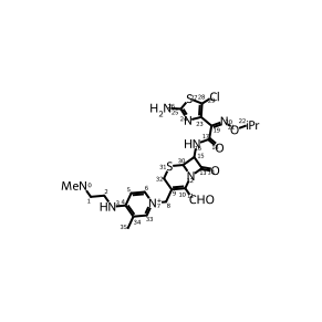 CNCCNc1cc[n+](CC2=C(C=O)N3C(=O)C(NC(=O)/C(=N\OC(C)C)c4nc(N)sc4Cl)C3SC2)cc1C